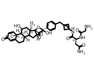 C[C@]12C=CC(=O)C=C1CC[C@@H]1[C@@H]2[C@@H](O)C[C@@]2(C)[C@H]1C[C@H]1O[C@@H](c3ccc(CC45CC(NC(=O)[C@H](CC(N)=O)NC(=O)CN)(C4)C5)cc3)O[C@]12C(=O)CO